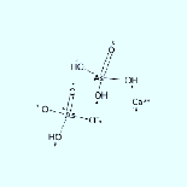 O=[As](O)(O)O.O=[As]([O-])([O-])O.[Ca+2]